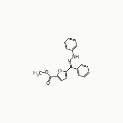 COC(=O)c1ccc(/C(=N/Nc2ccccc2)c2ccccc2)o1